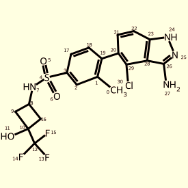 Cc1cc(S(=O)(=O)NC2CC(O)(C(F)(F)F)C2)ccc1-c1ccc2[nH]nc(N)c2c1Cl